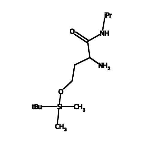 CC(C)NC(=O)C(N)CCO[Si](C)(C)C(C)(C)C